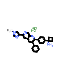 Cl.Cl.Cn1cnc(-c2cc3cc(-c4ccccc4)c(-c4ccc(C5(N)CCC5)cc4)nc3cn2)c1